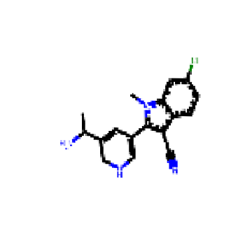 CC(N)C1=CC(c2c(C#N)c3ccc(Cl)cc3n2C)=CNC1